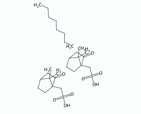 CC1(C)C2CCC1(CS(=O)(=O)O)C(=O)C2.CC1(C)C2CCC1(CS(=O)(=O)O)C(=O)C2.CCCCCCCC